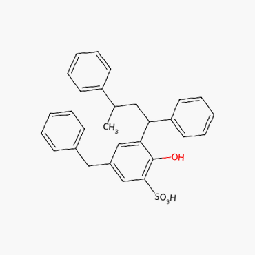 CC(CC(c1ccccc1)c1cc(Cc2ccccc2)cc(S(=O)(=O)O)c1O)c1ccccc1